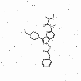 CCC(C)C(=O)N(C)c1ccc2c(n1)c(C1CCN(CC)CC1)cn2OC(=O)Cc1ccccc1